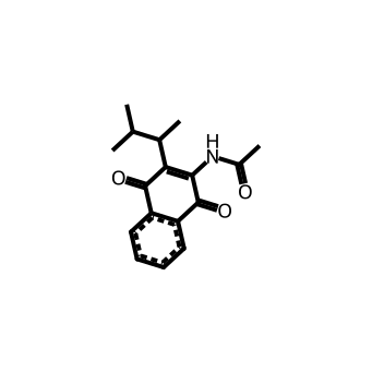 CC(=O)NC1=C(C(C)C(C)C)C(=O)c2ccccc2C1=O